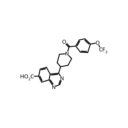 O=C(O)c1ccc2c(C3CCN(C(=O)c4ccc(OC(F)(F)F)cc4)CC3)ncnc2c1